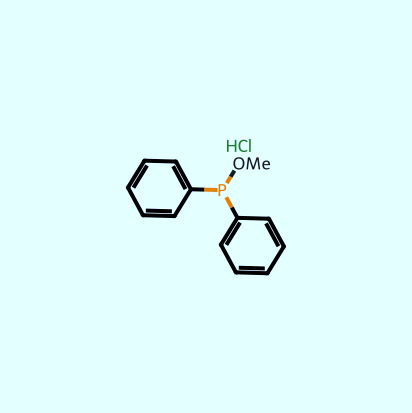 COP(c1ccccc1)c1ccccc1.Cl